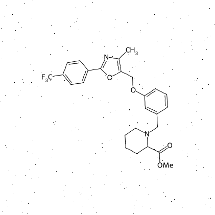 COC(=O)C1CCCCN1Cc1cccc(OCc2oc(-c3ccc(C(F)(F)F)cc3)nc2C)c1